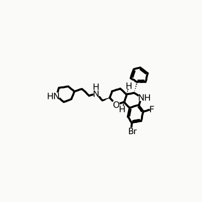 Fc1cc(Br)cc2c1N[C@@H](c1ccccc1)[C@@H]1CC[C@H](CNCCC3CCNCC3)O[C@H]21